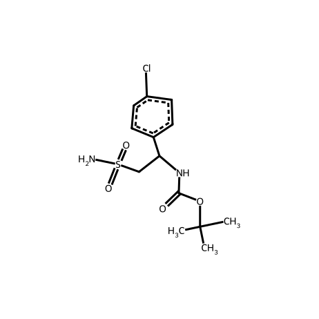 CC(C)(C)OC(=O)NC(CS(N)(=O)=O)c1ccc(Cl)cc1